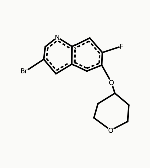 Fc1cc2ncc(Br)cc2cc1OC1CCOCC1